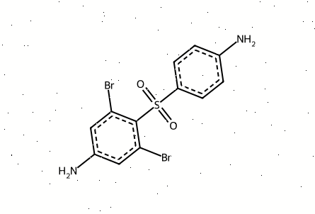 Nc1ccc(S(=O)(=O)c2c(Br)cc(N)cc2Br)cc1